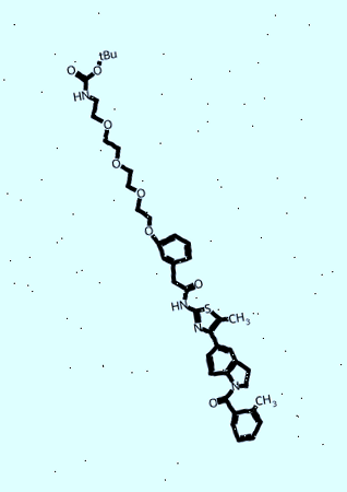 Cc1ccccc1C(=O)N1CCc2cc(-c3nc(NC(=O)Cc4cccc(OCCOCCOCCOCCNC(=O)OC(C)(C)C)c4)sc3C)ccc21